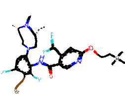 C[C@@H]1CN(c2cc(F)c(Br)c(F)c2NC(=O)c2cnc(OCC[Si](C)(C)C)cc2C(F)F)C[C@H](C)N1C